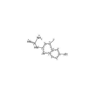 CCc1ccc2nc(NC(=N)N)cc(C)c2c1